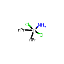 CC[CH2][Ti]([NH2])([Cl])([Cl])[CH2]CC